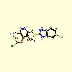 Cc1cnc(CSc2nc3cc(F)ccc3[nH]2)c(C)c1OC(F)F